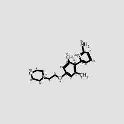 Cc1cc(OCCN2CCOCC2)cc(C)c1-c1cccc(N)n1